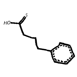 OC(=S)CCCc1ccccc1